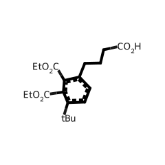 CCOC(=O)c1c(CCCC(=O)O)ccc(C(C)(C)C)c1C(=O)OCC